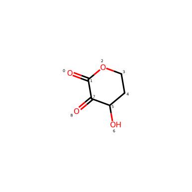 O=C1OCCC(O)C1=O